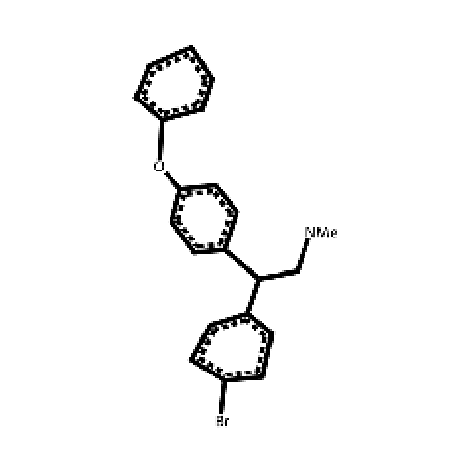 CNCC(c1ccc(Br)cc1)c1ccc(Oc2ccccc2)cc1